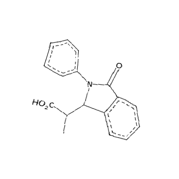 CC(C(=O)O)C1c2ccccc2C(=O)N1c1ccccc1